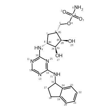 NS(=O)(=O)OC[C@H]1C[C@@H](Nc2ncnc(NC3CCc4ccccc43)n2)[C@H](O)[C@@H]1O